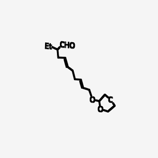 CCC(C=O)C/C=C/CC/C=C/COC1CCCCO1